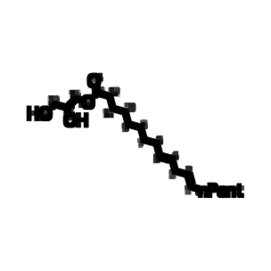 CCCCCC=CCC=CCCCCCCCC(=O)OCC(O)CO